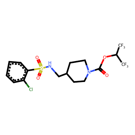 O=C(OC(C(F)(F)F)C(F)(F)F)N1CCC(CNS(=O)(=O)c2ccccc2Cl)CC1